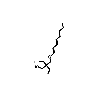 CCCCC=CC=COCC(CC)(CO)CO